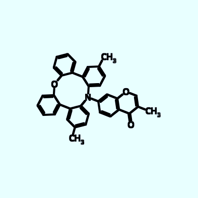 Cc1ccc2c(c1)-c1ccccc1Oc1ccccc1-c1cc(C)ccc1N2c1ccc2c(=O)c(C)coc2c1